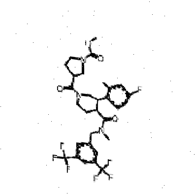 COC(=O)N1CCC(C(=O)N2CCC(C(=O)N(C)Cc3cc(C(F)(F)F)cc(C(F)(F)F)c3)C(c3ccc(F)cc3C)C2)C1